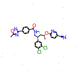 Cc1nc(-c2ccc(C(=O)N3C[C@H]([C@H](C)Oc4ccc(C#N)cn4)[C@@H](c4ccc(Cl)c(Cl)c4)C3)cc2)no1